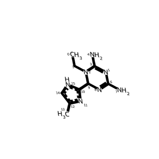 CCN1C(N)=NC(N)=NC1c1nc(C)c[nH]1